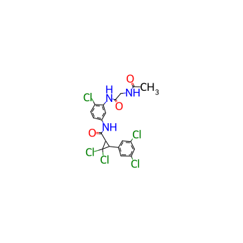 CC(=O)NCC(=O)Nc1cc(NC(=O)C2C(c3cc(Cl)cc(Cl)c3)C2(Cl)Cl)ccc1Cl